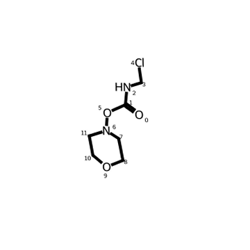 O=C(NCCl)ON1CCOCC1